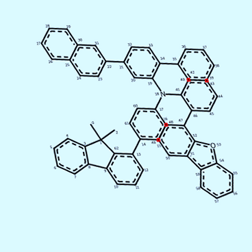 CC1(C)c2ccccc2-c2cccc(-c3ccc(N(c4cc(-c5ccc6ccccc6c5)ccc4-c4ccccc4)c4ccccc4-c4cccc5c4oc4ccccc45)cc3)c21